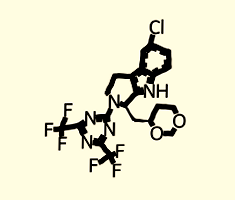 FC(F)(F)c1nc(N2CCc3c([nH]c4ccc(Cl)cc34)[C@H]2C[C@H]2CCOCO2)nc(C(F)(F)F)n1